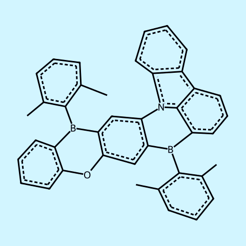 Cc1cccc(C)c1B1c2ccccc2Oc2cc3c(cc21)-n1c2ccccc2c2cccc(c21)B3c1c(C)cccc1C